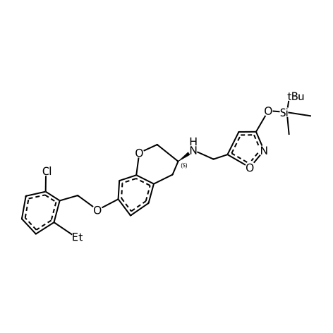 CCc1cccc(Cl)c1COc1ccc2c(c1)OC[C@@H](NCc1cc(O[Si](C)(C)C(C)(C)C)no1)C2